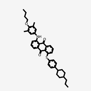 CCCCOc1c(C)cc(Nc2cccc3c2C(=O)c2cccc(Sc4ccc(C5CCC(CCC)CC5)cc4)c2C3=O)cc1C